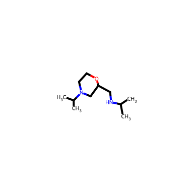 CC(C)NCC1CN(C(C)C)CCO1